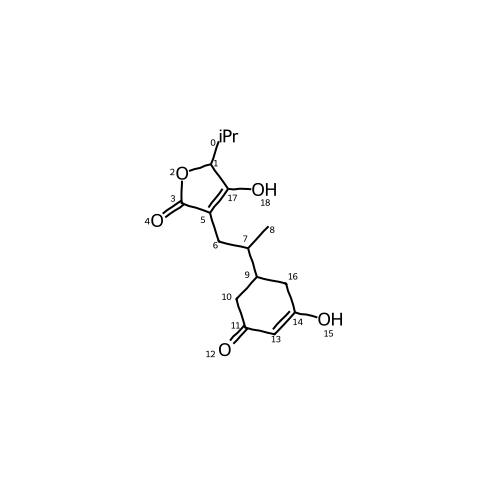 CC(C)C1OC(=O)C(CC(C)C2CC(=O)C=C(O)C2)=C1O